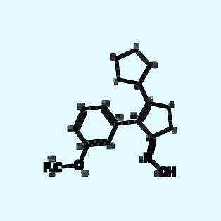 ON=C1CCC(C2CCCC2)=C1c1cccc(OC(F)(F)F)c1